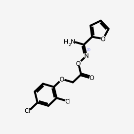 N/C(=N\OC(=O)COc1ccc(Cl)cc1Cl)c1ccco1